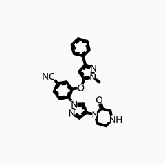 Cn1nc(-c2ccccc2)cc1Oc1cc(C#N)ccc1-n1cc(N2CCNCC2=O)cn1